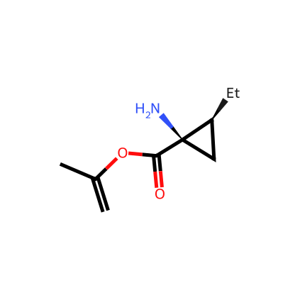 C=C(C)OC(=O)[C@@]1(N)C[C@@H]1CC